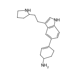 NC1CC=C(c2ccc3[nH]cc(CCC4CCCN4)c3c2)CC1